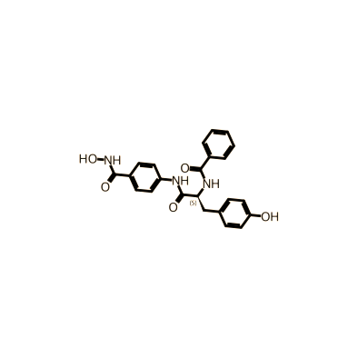 O=C(NO)c1ccc(NC(=O)[C@H](Cc2ccc(O)cc2)NC(=O)c2ccccc2)cc1